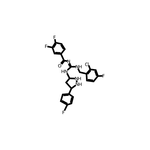 O=C(/N=C(/NCc1ccc(F)cc1Cl)NC1CC(c2ccc(F)cc2)NN1)c1ccc(F)c(F)c1